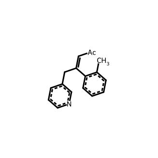 CC(=O)/C=C(/Cc1cccnc1)c1ccccc1C